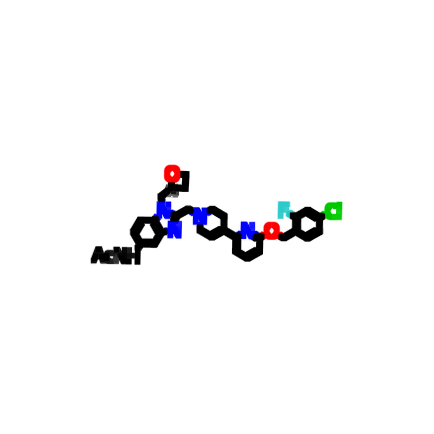 CC(=O)Nc1ccc2c(c1)nc(CN1CC=C(c3cccc(OCc4ccc(Cl)cc4F)n3)CC1)n2C[C@@H]1CCO1